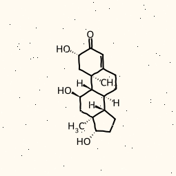 C[C@]12C[C@@H](O)[C@H]3[C@@H](CCC4=CC(=O)[C@@H](O)C[C@@]43C)[C@@H]1CC[C@@H]2O